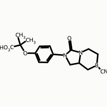 CC(C)(Oc1ccc(N2CC3CB(C#N)CCN3C2=O)cc1)C(=O)O